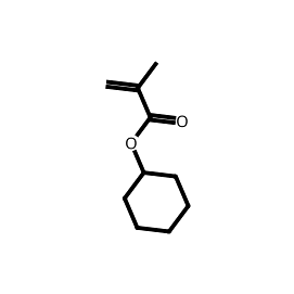 C=C(C)C(=O)OC1CCCCC1